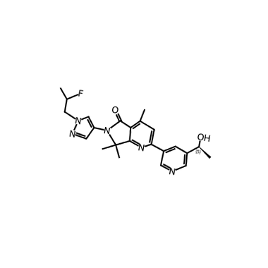 Cc1cc(-c2cncc([C@H](C)O)c2)nc2c1C(=O)N(c1cnn(CC(C)F)c1)C2(C)C